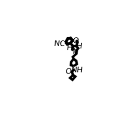 N#Cc1ccc2c(c1)[C@@H]1CN(CCC3CCC(NC(=O)C4CCC4)CC3)C[C@H]1CO2